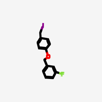 Fc1cccc(COc2ccc(CI)cc2)c1